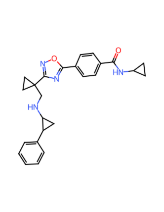 O=C(NC1CC1)c1ccc(-c2nc(C3(CNC4CC4c4ccccc4)CC3)no2)cc1